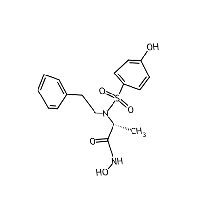 C[C@H](C(=O)NO)N(CCc1ccccc1)S(=O)(=O)c1ccc(O)cc1